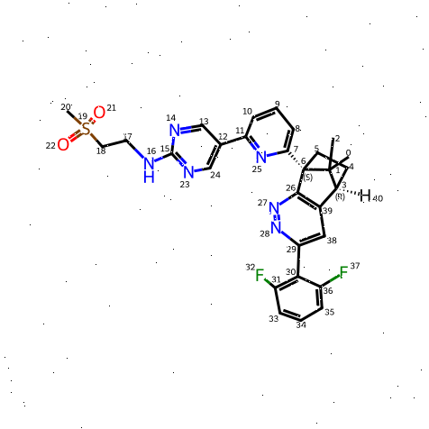 CC1(C)[C@H]2CC[C@]1(c1cccc(-c3cnc(NCCS(C)(=O)=O)nc3)n1)c1nnc(-c3c(F)cccc3F)cc12